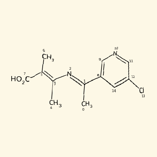 C/C(=N\C(C)=C(/C)C(=O)O)c1cncc(Cl)c1